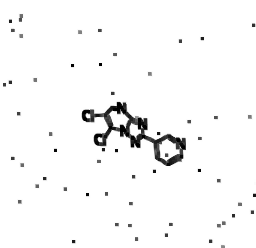 Clc1cnc2nc(-c3cccnc3)nn2c1Cl